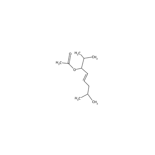 CC(=O)OC(/C=C/CC(C)C)C(C)C